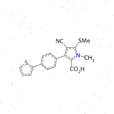 CSc1c(C#N)c(-c2ccc(-c3cccs3)cc2)c(C(=O)O)n1C